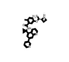 Cc1ccc(OC([SiH3])[C@@H]2CCN2)cc1C(=O)NC1(c2cc(-c3cccnc3)cc3ncccc23)CC1